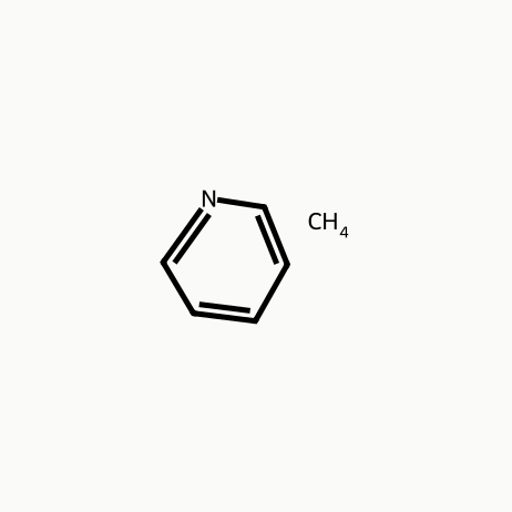 C.c1ccncc1